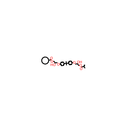 C=C(C)C(=O)OCC(O)COc1ccc(C(C)(C)c2ccc(OCC(O)COC(=O)C3CCCCCCCCCC3)cc2)cc1